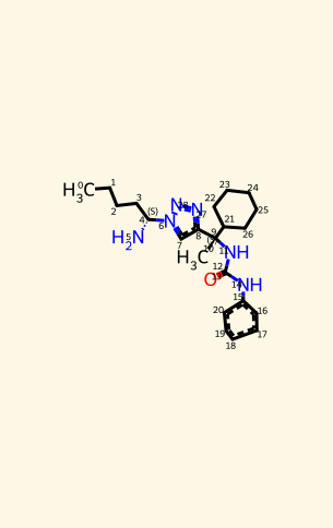 CCCC[C@@H](N)n1cc([C@@](C)(NC(=O)Nc2ccccc2)C2CCCCC2)nn1